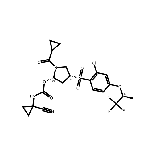 C[C@H](Oc1ccc(S(=O)(=O)[C@@H]2C[C@H](OC(=O)NC3(C#N)CC3)N(C(=O)C3CC3)C2)c(Cl)c1)C(F)(F)F